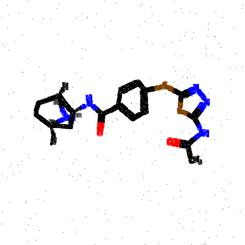 CC(=O)Nc1nnc(Sc2ccc(C(=O)N[C@@H]3C[C@H]4CC[C@@H]3N4)cc2)s1